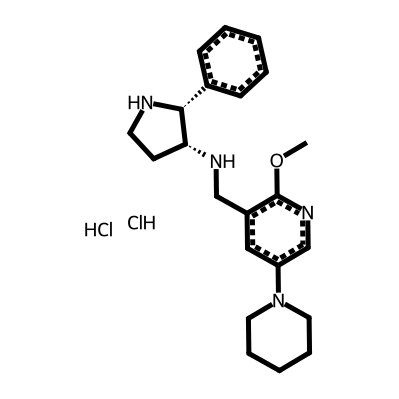 COc1ncc(N2CCCCC2)cc1CN[C@@H]1CCN[C@@H]1c1ccccc1.Cl.Cl